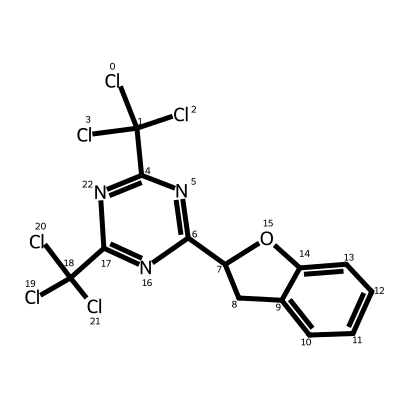 ClC(Cl)(Cl)c1nc(C2Cc3ccccc3O2)nc(C(Cl)(Cl)Cl)n1